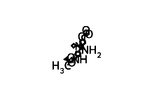 CC(OC(=O)Nc1ccc(-c2c(N)c3ccc(OC4COCOC4)cc3n2C2CCC2)cc1)C1CC1